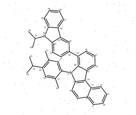 Cc1cc(-n2c3ccc4ccccc4c3c3cccc(-c4ccc5c(c4)c4ccccc4n5C(C)C)c32)c(C)cc1C(C)C